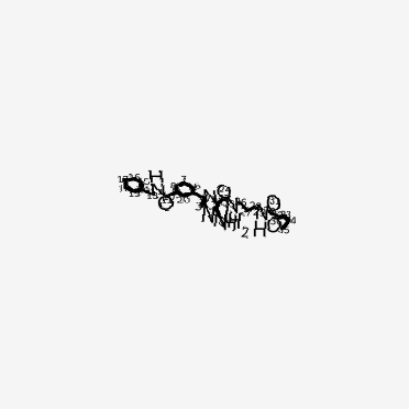 Nc1ncc(-c2cccc(C(=O)NCc3ccccc3)c2)nc1C(=O)NCCCNC(=O)c1ccco1